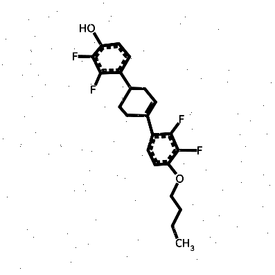 CCCCOc1ccc(C2=CCC(c3ccc(O)c(F)c3F)CC2)c(F)c1F